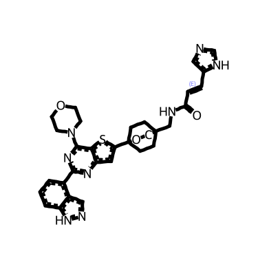 O=C(/C=C/c1cnc[nH]1)NCC12CCC(c3cc4nc(-c5cccc6[nH]ncc56)nc(N5CCOCC5)c4s3)(CC1)OC2